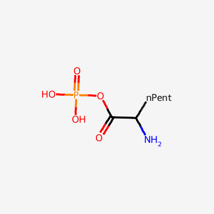 CCCCCC(N)C(=O)OP(=O)(O)O